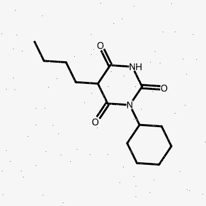 CCCCC1C(=O)NC(=O)N(C2CCCCC2)C1=O